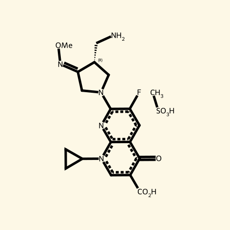 CON=C1CN(c2nc3c(cc2F)c(=O)c(C(=O)O)cn3C2CC2)C[C@H]1CN.CS(=O)(=O)O